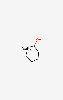 OC1CCCCC1.[MgH2]